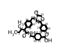 CCC(C)C(C(=O)NCC1CCC(C(=O)O)CC1)c1ccc(CN2N=C(c3ccccc3)OCC2=O)cc1